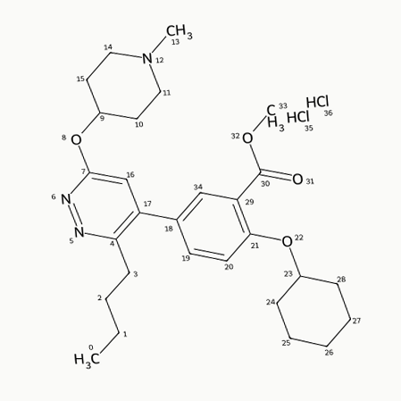 CCCCc1nnc(OC2CCN(C)CC2)cc1-c1ccc(OC2CCCCC2)c(C(=O)OC)c1.Cl.Cl